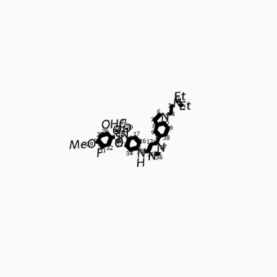 CCN(CC)CCn1ccc2cc(-c3cc(Nc4ccc(N(OC=O)S(=O)(=O)c5ccc(OC)c(F)c5)cc4)ncn3)ccc21